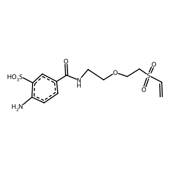 C=CS(=O)(=O)CCOCCNC(=O)c1ccc(N)c(S(=O)(=O)O)c1